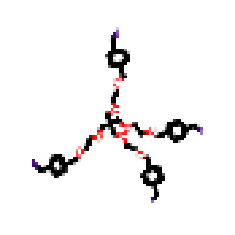 ICc1ccc(COCCOCC(COCCOCc2ccc(CI)cc2)(COCCOCc2ccc(CI)cc2)COCCOCc2ccc(CI)cc2)cc1